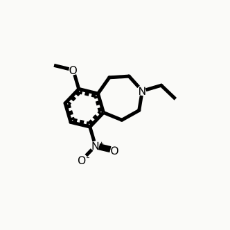 CCN1CCc2c(OC)ccc([N+](=O)[O-])c2CC1